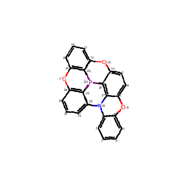 c1ccc2c(c1)oc1ccc3oc4cccc5oc6cccc7c6p(c54)c3c1n27